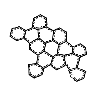 c1ccc2c(c1)c1cccc3c4ccc5c6cccc7c8ccccc8c8cc9c%10ccccc%10c%10cc2c(c13)c1c%10c9c(c8c76)c5c41